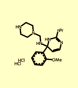 CCCC1=NC=CC(NCN2CCNCC2)(c2ccccc2OC)N1.Cl.Cl